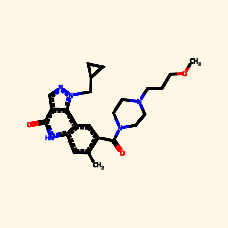 COCCCN1CCN(C(=O)c2cc3c(cc2C)[nH]c(=O)c2cnn(CC4CC4)c23)CC1